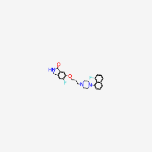 O=C1NCc2cc(F)c(OCCCN3CCN(c4cccc5cccc(F)c45)CC3)cc21